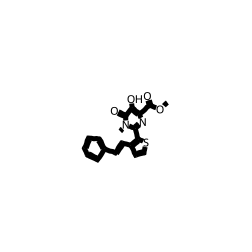 COC(=O)c1nc(-c2sccc2C=Cc2ccccc2)n(C)c(=O)c1O